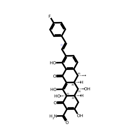 C[C@H]1c2ccc(/C=C/c3ccc(F)cc3)c(O)c2C(=O)C2=C(O)[C@]3(O)C(=O)C(C(N)=O)=C(O)C[C@@H]3[C@@H](O)[C@@H]21